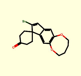 O=C1CCC2(CC1)C(Br)=Cc1cc3c(cc12)OCCCCO3